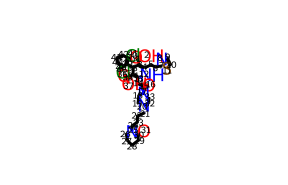 O=C(O)C1=C(CCc2nccs2)NC(CC(=O)N2CCN(CCCCN3CCCCC3=O)CC2)=C(C(=O)O)C1c1c(Cl)cccc1Cl